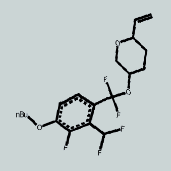 C=CC1CCC(OC(F)(F)c2ccc(OCCCC)c(F)c2C(F)F)CO1